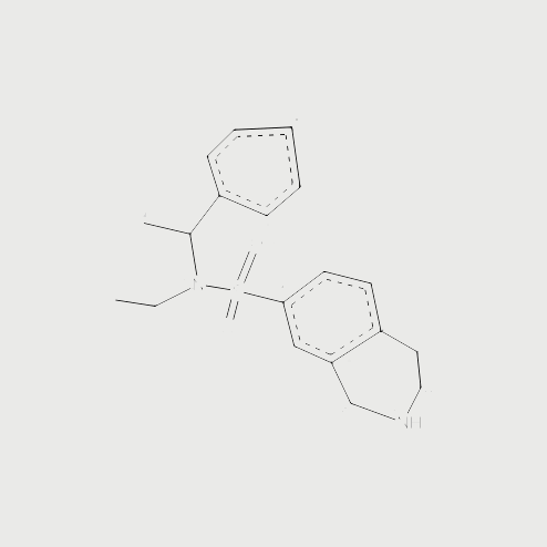 CCN(C(C)c1ccccc1)S(=O)(=O)c1ccc2c(c1)CNCC2